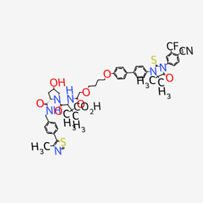 Cc1ncsc1-c1ccc(CNC(=O)[C@@H]2C[C@@H](O)CN2C(=O)C(NC(=O)COCCCCOc2ccc(-c3ccc(N4C(=S)N(c5ccc(C#N)c(C(F)(F)F)c5)C(=O)C4(C)C)cc3)cc2)C(C)(C)C(=O)O)cc1